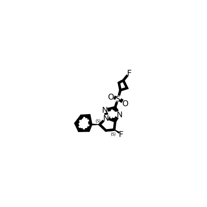 O=S(=O)(c1nc2n(n1)[C@H](c1ccccc1)C[C@@H]2F)C1CC(F)C1